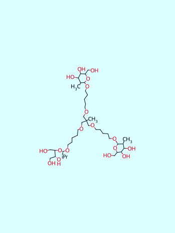 CC(C)[C@H](OCCCCCOCC(C)(COCCCCCO[C@@H]1OC(CO)[C@H](O)C(O)[C@@H]1C)COCCCCCO[C@@H]1OC(CO)[C@H](O)C(O)[C@@H]1C)OC(CO)[C@H](O)CO